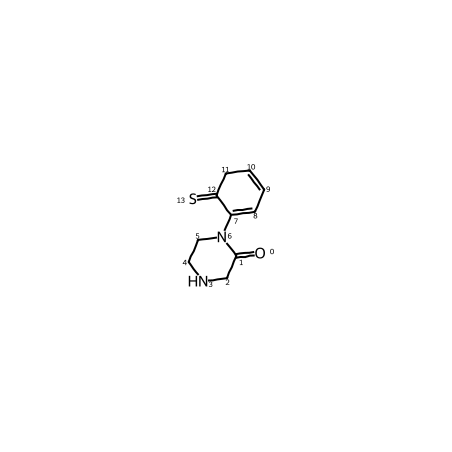 O=C1CNCCN1C1=CC=CCC1=S